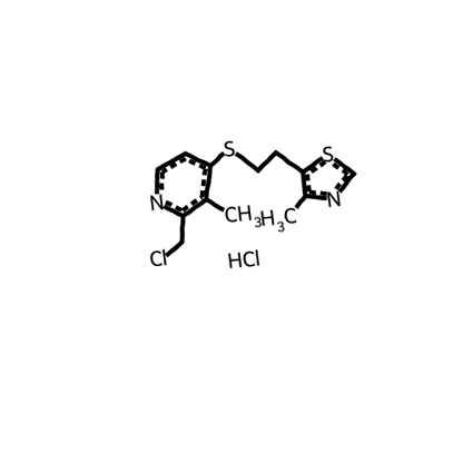 Cc1ncsc1CCSc1ccnc(CCl)c1C.Cl